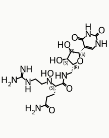 N=C(N)NCCN(O)[C@@H](CCC(N)=O)C(=O)NC[C@H]1O[C@@H](c2c[nH]c(=O)[nH]c2=O)[C@H](O)[C@@H]1O